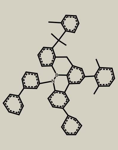 Cc1ccccc1C(C)(C)c1cccc2c1Cc1cc(-c3c(C)cccc3C)cc3c1B2N(c1cccc(-c2ccccc2)c1)c1ccc(-c2ccccc2)cc1-3